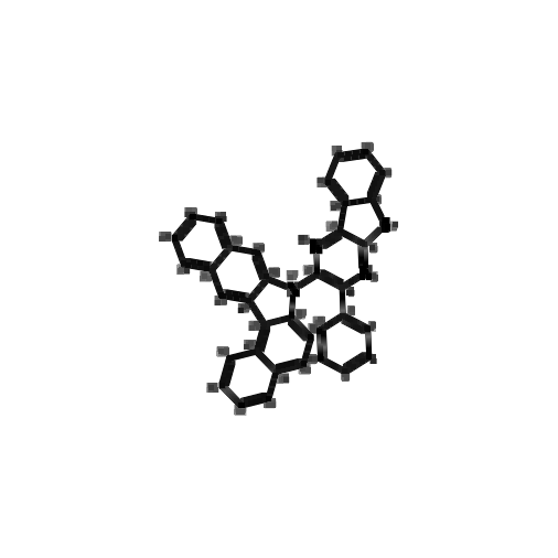 c1ccc(-c2nc3sc4ccccc4c3nc2-n2c3cc4ccccc4cc3c3c4ccccc4ccc32)cc1